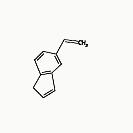 C=Cc1ccc2c(c1)C=CC2